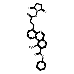 Cc1c(C(=O)Oc2ccccc2)ccc2cnc3c(CCC(=O)ON4C(=O)CCC4=O)cccc3c12